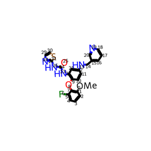 COc1cccc(F)c1Oc1ccc(NCc2cccnc2)cc1NC(=O)Nc1nccs1